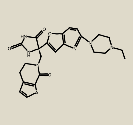 CCN1CCN(c2ccc3oc([C@]4(CN5CCc6ccsc6C5=O)NC(=O)NC4=O)cc3n2)CC1